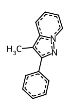 Cc1c(-c2ccccc2)nn2ccccc12